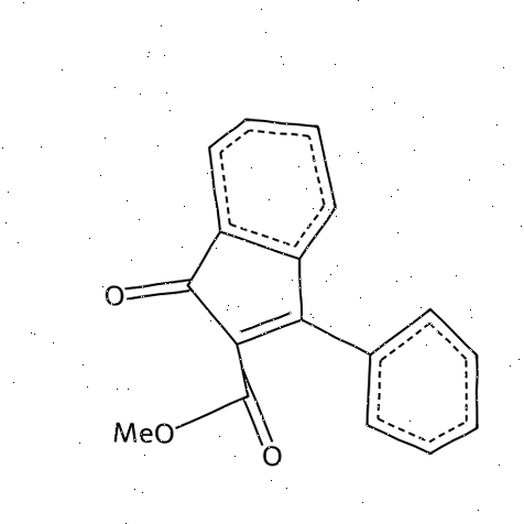 COC(=O)C1=C(c2ccccc2)c2ccccc2C1=O